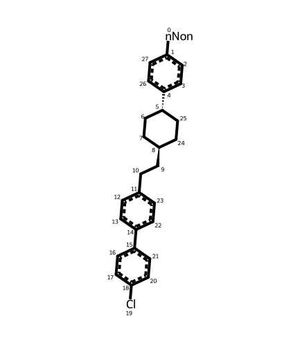 CCCCCCCCCc1ccc([C@H]2CC[C@H](CCc3ccc(-c4ccc(Cl)cc4)cc3)CC2)cc1